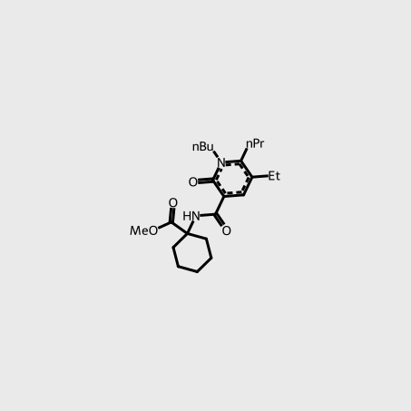 CCCCn1c(CCC)c(CC)cc(C(=O)NC2(C(=O)OC)CCCCC2)c1=O